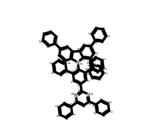 c1ccc(-c2ccc3c(c2)c2cc(-c4ccccc4)cc(-c4ccccc4)c2n3-c2c(-c3ccccc3)cc(-c3nc(-c4ccccc4)cc(-c4ccccc4)n3)cc2-c2ccccc2)cc1